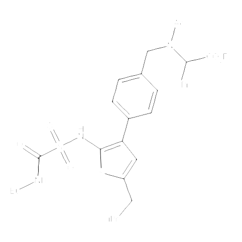 CCNC(=O)S(=O)(=O)Nc1sc(CC(C)C)cc1-c1ccc(CN(C(C)=O)C(C(=O)OCC)C(C)C)cc1